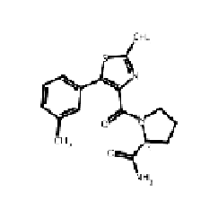 Cc1cccc(-c2sc(C)nc2C(=O)N2CCC[C@H]2C(N)=O)c1